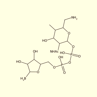 BC1OC(COP(=O)(O)OP(=O)(O)OC2OC(CN)C(C)C(O)C2NC(C)=O)C(O)C1O